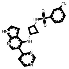 N#Cc1cccc(S(=O)(=O)N[C@H]2C[C@@H](Nc3c(-c4ccncn4)cnc4[nH]ccc34)C2)c1